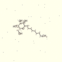 CCCCCCCCSC1O[C@H](CO)[C@H](O)[C@H](O)[C@H]1O